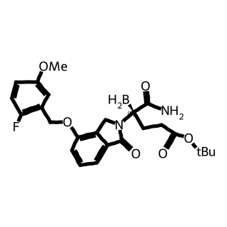 B[C@](CCC(=O)OC(C)(C)C)(C(N)=O)N1Cc2c(OCc3cc(OC)ccc3F)cccc2C1=O